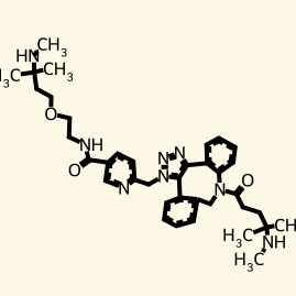 CNC(C)(C)CCOCCNC(=O)c1ccc(Cn2nnc3c2-c2ccccc2CN(C(=O)CCC(C)(C)NC)c2ccccc2-3)nc1